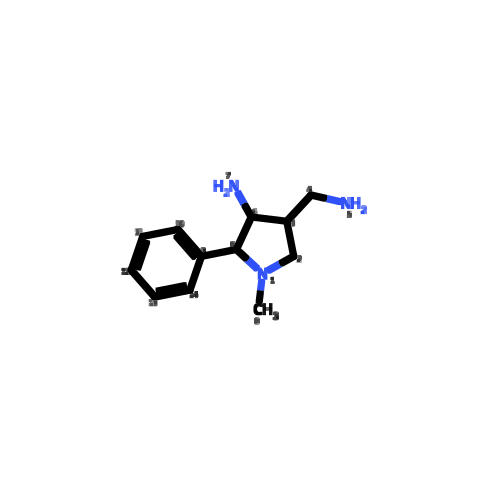 CN1CC(CN)C(N)C1c1ccccc1